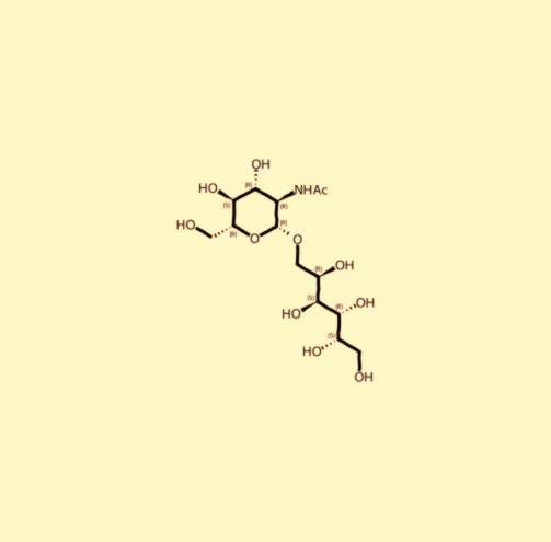 CC(=O)N[C@H]1[C@H](OC[C@@H](O)[C@H](O)[C@H](O)[C@@H](O)CO)O[C@H](CO)[C@@H](O)[C@@H]1O